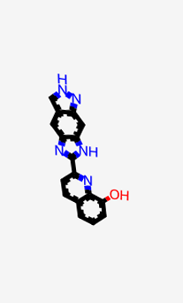 Oc1cccc2ccc(-c3nc4cc5c[nH]nc5cc4[nH]3)nc12